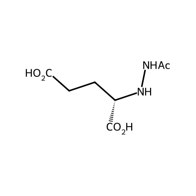 CC(=O)NN[C@@H](CCC(=O)O)C(=O)O